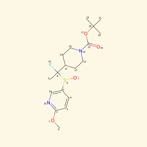 COc1ccc([S+]([O-])C(C)(F)C2CCN(C(=O)OC(C)(C)C)CC2)cn1